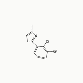 CC1=CCC(c2cccc(S)c2Cl)=N1